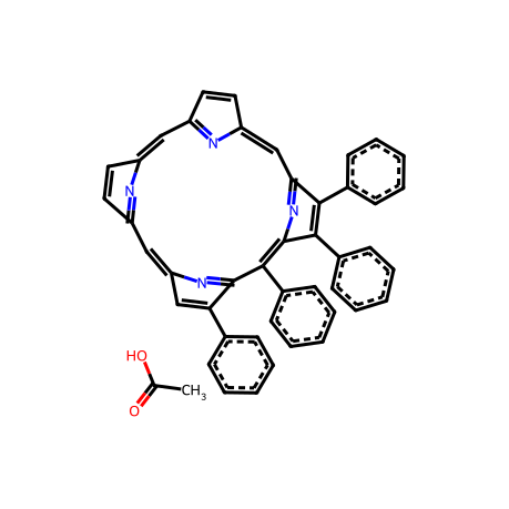 C1=CC2=NC1=CC1=NC(=C(c3ccccc3)C3=NC(=CC4=NC(=C2)C=C4)C=C3c2ccccc2)C(c2ccccc2)=C1c1ccccc1.CC(=O)O